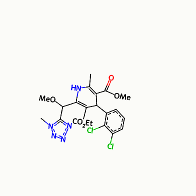 CCOC(=O)C1=C(C(OC)c2nnnn2C)NC(C)=C(C(=O)OC)C1c1cccc(Cl)c1Cl